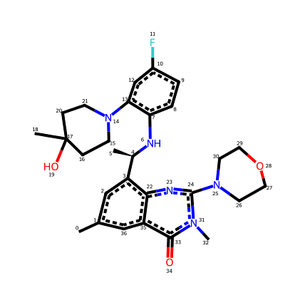 Cc1cc([C@@H](C)Nc2ccc(F)cc2N2CCC(C)(O)CC2)c2nc(N3CCOCC3)n(C)c(=O)c2c1